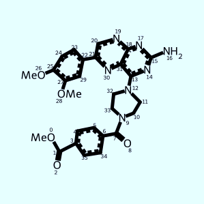 COC(=O)c1ccc(C(=O)N2CCN(c3nc(N)nc4ncc(-c5ccc(OC)c(OC)c5)nc34)CC2)cc1